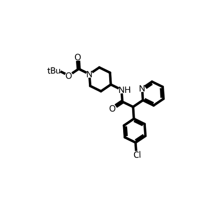 CC(C)(C)OC(=O)N1CCC(NC(=O)C(c2ccc(Cl)cc2)c2ccccn2)CC1